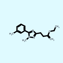 C=C(CCc1nc(-c2cccc(C)c2)n(C)n1)OCC